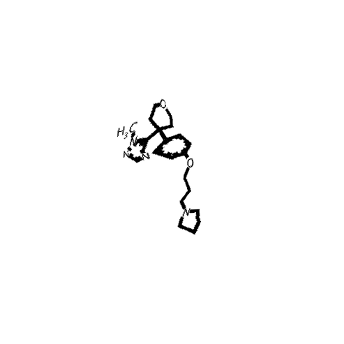 Cn1ncnc1C1(c2ccc(OCCCN3CCCC3)cc2)CCOCC1